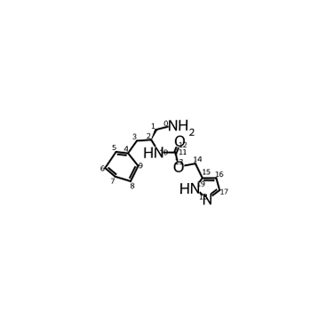 NC[C@H](Cc1ccccc1)NC(=O)OCc1ccn[nH]1